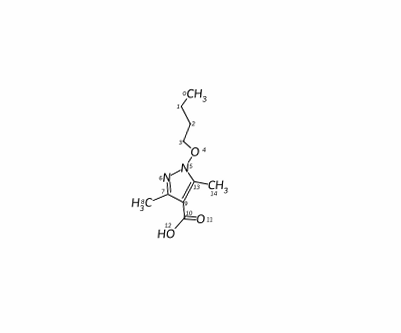 CCCCOn1nc(C)c(C(=O)O)c1C